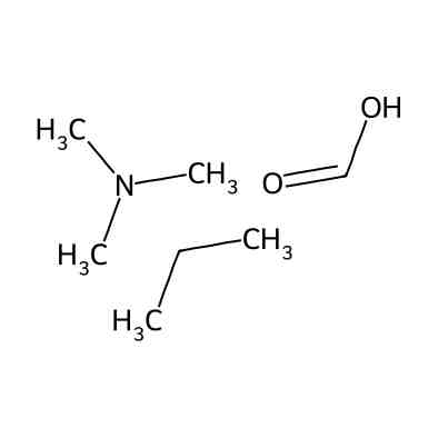 CCC.CN(C)C.O=CO